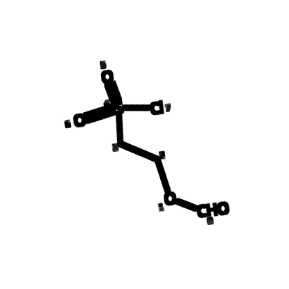 O=COCCS(=O)(=O)Cl